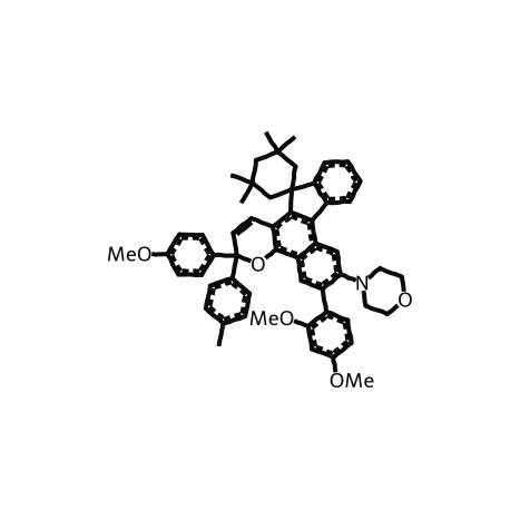 COc1ccc(C2(c3ccc(C)cc3)C=Cc3c4c(c5cc(N6CCOCC6)c(-c6ccc(OC)cc6OC)cc5c3O2)-c2ccccc2C42CC(C)(C)CC(C)(C)C2)cc1